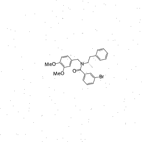 COc1ccc(CN(C(=O)c2cccc(Br)c2)[C@@H](C)Cc2ccccc2)cc1OC